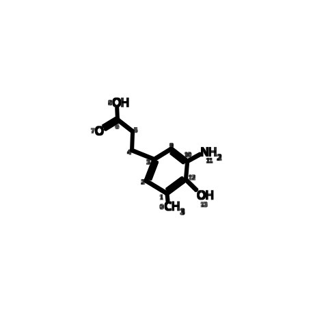 Cc1cc(CCC(=O)O)cc(N)c1O